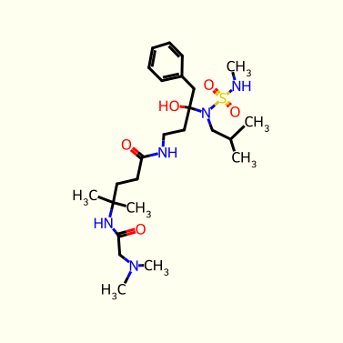 CNS(=O)(=O)N(CC(C)C)C(O)(CCNC(=O)CCC(C)(C)NC(=O)CN(C)C)Cc1ccccc1